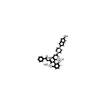 O=C(O)C1=C(CC(=O)c2ccccc2)NC(CC(=O)N2CCN(C3CC4CC(O)CC4C3)CC2)=C(C(=O)O)C1c1c(Cl)cccc1Cl